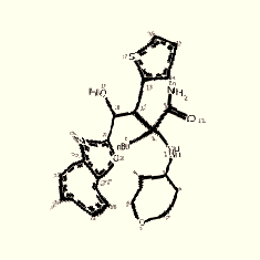 CCCCC(NC1CCOCC1)(C(N)=O)C(c1cccs1)C(O)c1nc2ccccc2o1